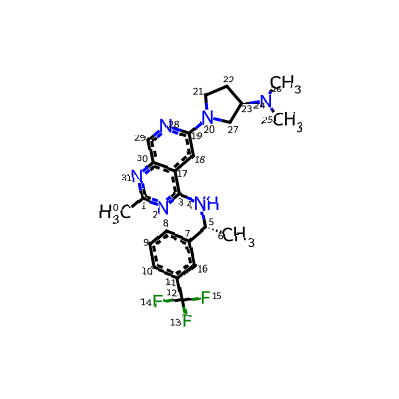 Cc1nc(N[C@H](C)c2cccc(C(F)(F)F)c2)c2cc(N3CC[C@@H](N(C)C)C3)ncc2n1